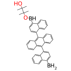 Bc1ccc(-c2c3ccccc3c(-c3ccc(BOC(C)(C)C(C)(C)O)c4ccccc34)c3ccccc23)c2ccccc12